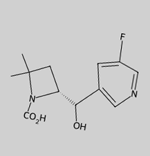 CC1(C)C[C@H](C(O)c2cncc(F)c2)N1C(=O)O